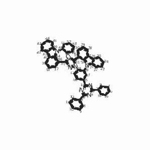 c1ccc(-c2nc(-c3ccccc3)nc(-c3cccc(-n4c5ccccc5c5cccc(-c6nnc(-c7cccc8c9ccccc9n(-c9ccccc9)c78)o6)c54)c3)n2)cc1